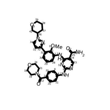 COc1c(Nc2nc(Nc3ccc(C(=O)N4CCOCC4)cc3)ncc2C(N)=O)cccc1-c1ccn(C2CCCOC2)n1